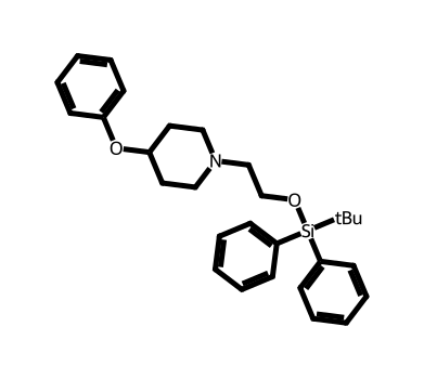 CC(C)(C)[Si](OCCN1CCC(Oc2ccccc2)CC1)(c1ccccc1)c1ccccc1